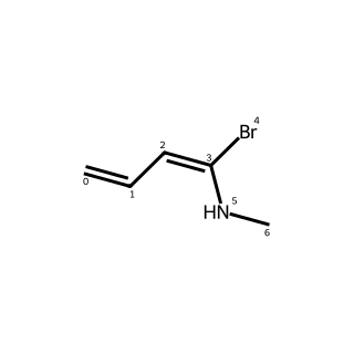 C=C/C=C(/Br)NC